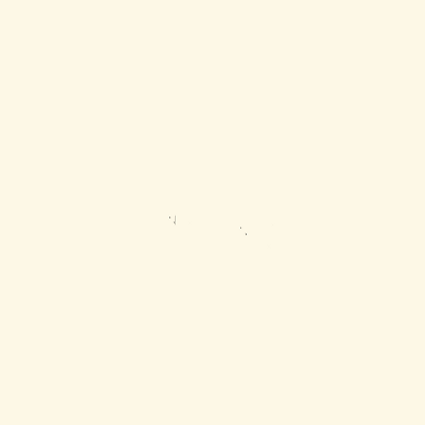 c1ccc(-c2ccc(N(c3ccc(-n4c5ccccc5c5c6ccccc6ccc54)cc3)c3cc(-c4ccccc4)cc4ccccc34)cc2)cc1